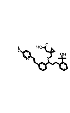 COc1ccc(C=Cc2cccc(C(CCc3ccccc3C(C)(C)O)SCC3(CC(=O)O)CC3)c2)nc1